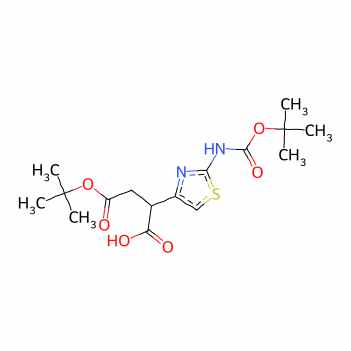 CC(C)(C)OC(=O)CC(C(=O)O)c1csc(NC(=O)OC(C)(C)C)n1